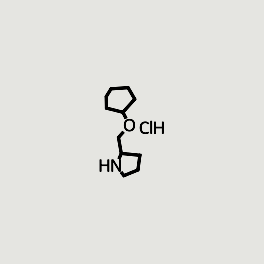 C1CCC(OCC2CCCN2)CC1.Cl